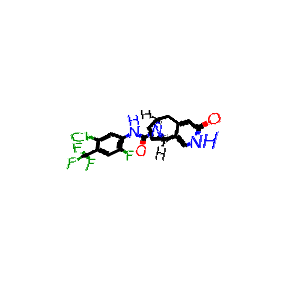 O=C(Nc1cc(Cl)c(C(F)(F)F)cc1F)N1[C@@H]2CC[C@H]1c1c[nH]c(=O)cc1C2